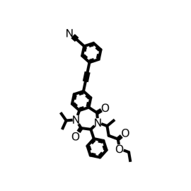 CCOC(=O)CC(C)N1C(=O)c2cc(C#Cc3cccc(C#N)c3)ccc2N(C(C)C)C(=O)C1c1ccccc1